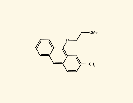 COCCOc1c2ccccc2cc2ccc(C)cc12